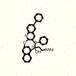 CNCC[C@]1(O)c2cc(cc3ccccc23)Oc2nc3ccc(-c4ccccc4)cc3cc2[C@H]1c1ccccc1